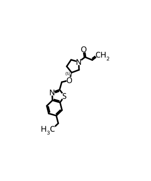 C=CC(=O)N1CC[C@H](OCc2nc3ccc(CC)cc3s2)C1